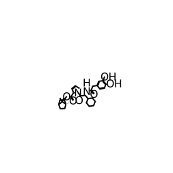 CC1(C)C2CC[C@]1(C)C(OC(=O)C1C=CCN1C(=O)C(NC(=O)Cc1ccc(O)c(O)c1)C1CCCCC1)C2